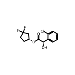 O=C(O[C@@H]1CCC(F)(F)C1)[C@H](O)c1ccccc1Cl